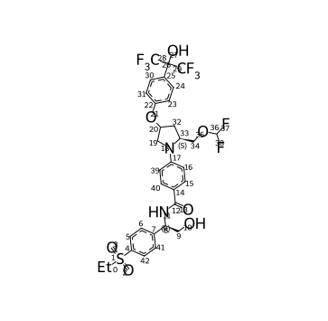 CCS(=O)(=O)c1ccc([C@H](CO)NC(=O)c2ccc(N3CC(Oc4ccc(C(O)(C(F)(F)F)C(F)(F)F)cc4)C[C@H]3COC(F)F)cc2)cc1